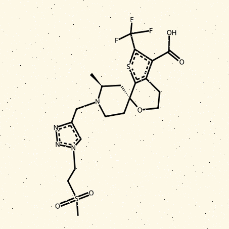 C[C@H]1C[C@@]2(CCN1Cc1cn(CCS(C)(=O)=O)nn1)OCCc1c2sc(C(F)(F)F)c1C(=O)O